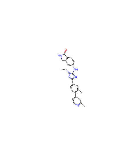 CCn1nc(-c2ccc(-c3ccnc(C)c3)c(C)c2)nc1Nc1ccc2c(c1)CNC2=O